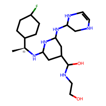 C[C@H](NC1CC(C(O)NCCO)CC(NC2CNC=CN2)N1)C1CCC(F)CC1